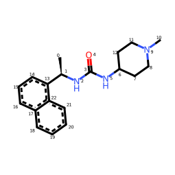 C[C@@H](NC(=O)NC1CCN(C)CC1)c1cccc2ccccc12